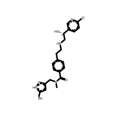 CCC(C)c1cc(CN(C)C(=O)c2ccc(CCNC[C@H](O)c3ccc(Cl)nc3)cc2)n[nH]1